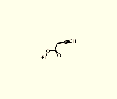 C#CCC(=O)O[CH]C